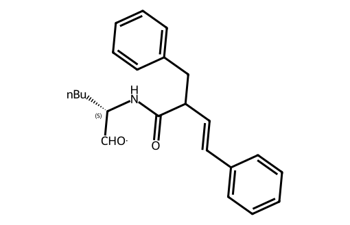 CCCC[C@@H]([C]=O)NC(=O)C(C=Cc1ccccc1)Cc1ccccc1